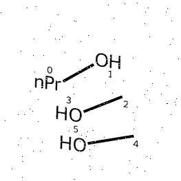 CCCO.CO.CO